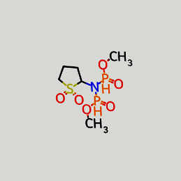 CO[PH](=O)N(C1CCCS1(=O)=O)[PH](=O)OC